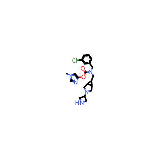 Cn1cnc(OC(=O)N(Cc2cccc(Cl)c2)CC2C3CN(C4CNC4)CC23)c1